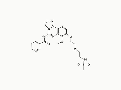 COc1c(OCCOCCNS(C)(=O)=O)ccc2c1N=C(NC(=O)c1cccnc1)N1CCN=C21